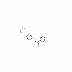 CCC(Nc1ccc(CN2CCNCC2)cc1)=C1C(=O)Nc2cc(OC)c(OC)cc21